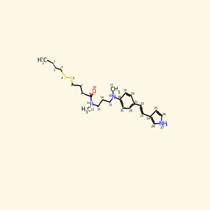 CCCCSSCCCC(=O)N(C)CCCN(C)c1ccc(/C=C/c2cc[nH]c2)cc1